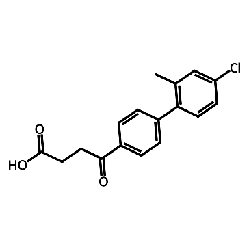 Cc1cc(Cl)ccc1-c1ccc(C(=O)CCC(=O)O)cc1